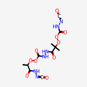 CC(OOC(=O)NNC(=O)C(C)(C)OOC(=O)NN=C=O)C(=O)NN=C=O